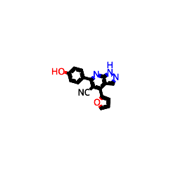 N#Cc1c(-c2ccc(O)cc2)nc2[nH]ncc2c1-c1ccco1